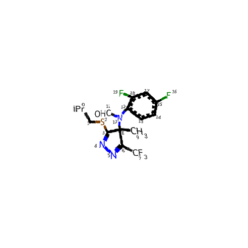 CC(C)CSC1=NN=C(C(F)(F)F)C1(C)N(C=O)c1ccc(F)cc1F